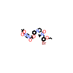 CCCOc1cc(Br)ccc1CN(C(=O)[C@@H]1CCCN(c2cccc(OC(C)(C)C(=O)N3CCN(C(=O)OC(C)(C)C)CC3)c2)C1)C1CC1